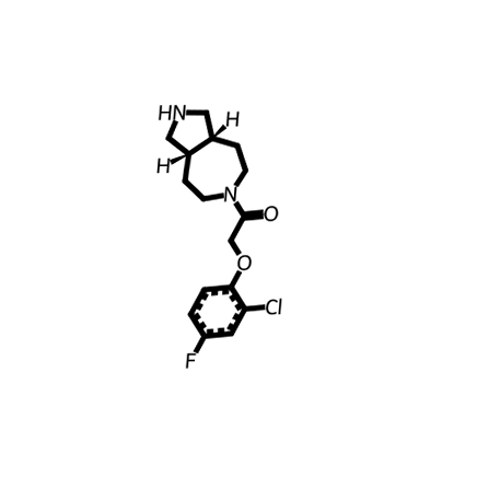 O=C(COc1ccc(F)cc1Cl)N1CC[C@@H]2CNC[C@@H]2CC1